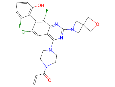 C=CC(=O)N1CCN(c2nc(N3CC4(COC4)C3)nc3c(F)c(-c4c(O)cccc4F)c(Cl)cc23)CC1